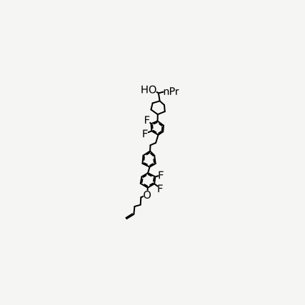 C=CCCCOc1ccc(-c2ccc(CCc3ccc(C4CCC(C(O)CCC)CC4)c(F)c3F)cc2)c(F)c1F